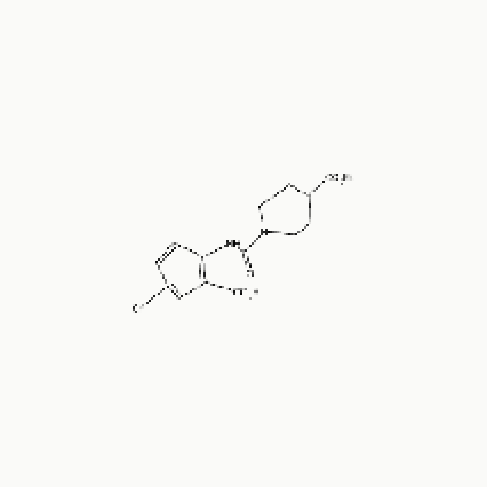 CCOC(=O)C1CCN(C(=O)Nc2ccc(Cl)cc2C(=O)O)CC1